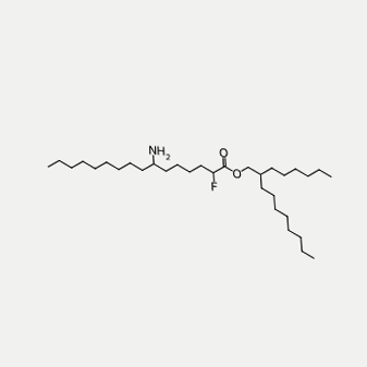 CCCCCCCCCC(N)CCCCC(F)C(=O)OCC(CCCCCC)CCCCCCCC